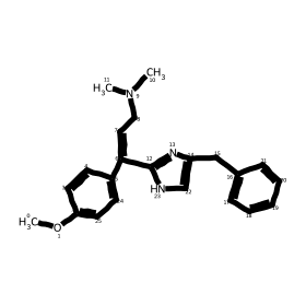 COc1ccc(/C(=C/CN(C)C)c2nc(Cc3ccccc3)c[nH]2)cc1